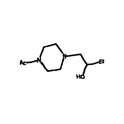 CCC(O)CN1CCN(C(C)=O)CC1